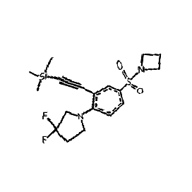 C[Si](C)(C)C#Cc1cc(S(=O)(=O)N2CCC2)ccc1N1CCC(F)(F)C1